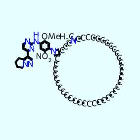 COc1cc(N2CC3(CCCCCCCCCCCCCCCCCCCCCCCCCCCCCCCCCCCCCN(C)CCC3)C2)c([N+](=O)[O-])cc1Nc1nccc(-c2cnn3c2CCCC3)n1